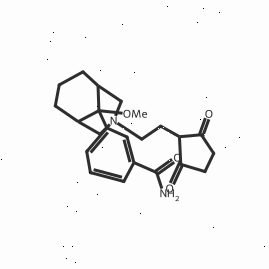 COC1(c2cccc(C(N)=O)c2)C2CCCC1CN(CCC1C(=O)CCC1=O)C2